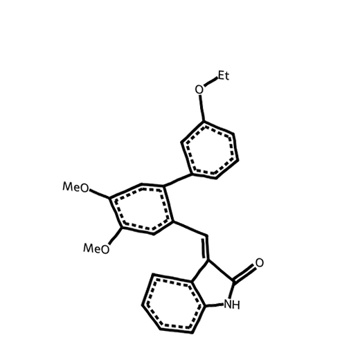 CCOc1cccc(-c2cc(OC)c(OC)cc2/C=C2/C(=O)Nc3ccccc32)c1